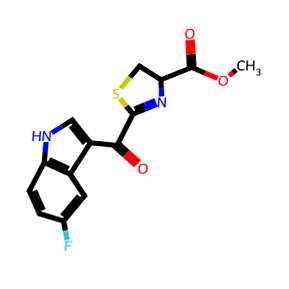 COC(=O)C1CSC(C(=O)c2c[nH]c3ccc(F)cc23)=N1